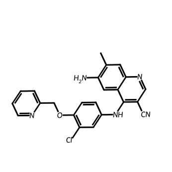 Cc1cc2ncc(C#N)c(Nc3ccc(OCc4ccccn4)c(Cl)c3)c2cc1N